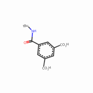 CC(C)(C)NC(=O)c1cc(C(=O)O)cc(C(=O)O)c1